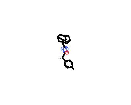 Cc1ccc([C@H](C)c2nc(C34CC5CC(CC(C5)C3)C4)no2)cc1